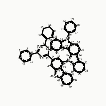 C1=CC(C2N=C(c3ccccc3)N=C(c3cc(-n4c5ccccc5c5ccc6c(c7ccccc7n6-c6ccccc6)c54)c4c(c3)sc3ccccc34)N2)=CCC1